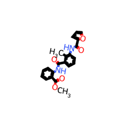 COC(=O)c1ccccc1NC(=O)c1cccc(NC(=O)c2ccco2)c1C